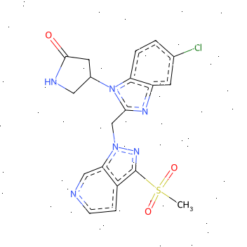 CS(=O)(=O)c1nn(Cc2nc3cc(Cl)ccc3n2C2CNC(=O)C2)c2cnccc12